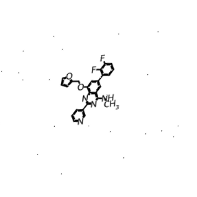 CNc1nc(-c2cccnc2)nc2c(OCc3ccco3)cc(-c3cccc(F)c3F)cc12